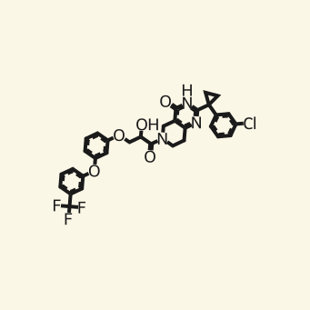 O=C(C(O)COc1cccc(Oc2cccc(C(F)(F)F)c2)c1)N1CCc2nc(C3(c4cccc(Cl)c4)CC3)[nH]c(=O)c2C1